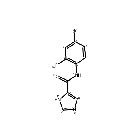 O=C(Nc1ccc(Br)cc1F)c1cnc[nH]1